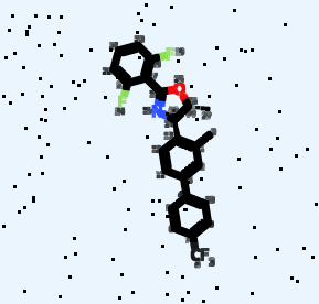 Cc1cc(-c2ccc(C(F)(F)F)cc2)ccc1[C@H]1N=C(c2c(F)cccc2F)O[C@@H]1C